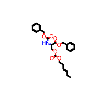 CCC=CCCOC(=O)OCC(NC(=O)OCc1ccccc1)C(=O)OCc1ccccc1